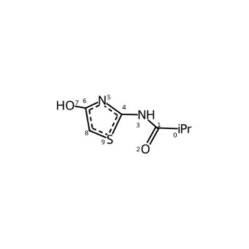 CC(C)C(=O)Nc1nc(O)cs1